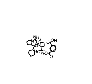 NC(=O)N1CCCC1C(=O)C1CCCCC1.O=C(O)[C@@H]1CCCN1.O=C(O)c1cccc(C(=O)O)c1